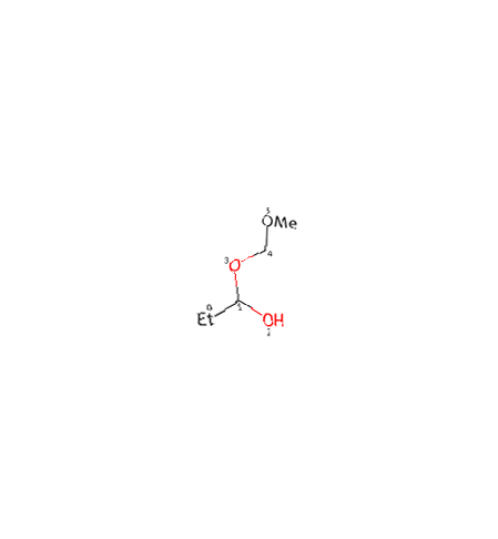 CCC(O)OCOC